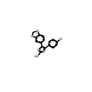 Sc1nc(-c2ccc(Cl)cc2)c(-c2ccc3c(c2)OCO3)s1